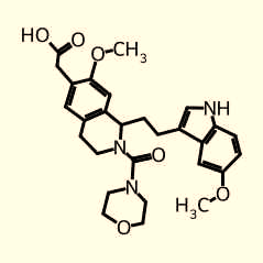 COc1ccc2[nH]cc(CCC3c4cc(OC)c(CC(=O)O)cc4CCN3C(=O)N3CCOCC3)c2c1